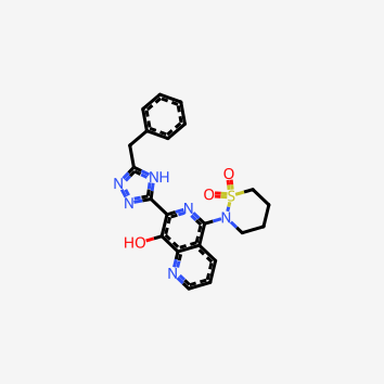 O=S1(=O)CCCCN1c1nc(-c2nnc(Cc3ccccc3)[nH]2)c(O)c2ncccc12